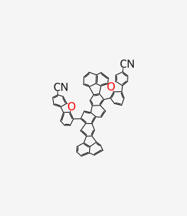 N#Cc1ccc2c(c1)oc1c(-c3cc4c5cc6c(c(-c7cccc8c7oc7cc(C#N)ccc78)c5ccc4c4cc5c(cc34)-c3cccc4cccc-5c34)-c3cccc4cccc-6c34)cccc12